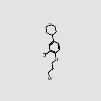 Clc1cc(C2CCOCC2)ccc1OCCCBr